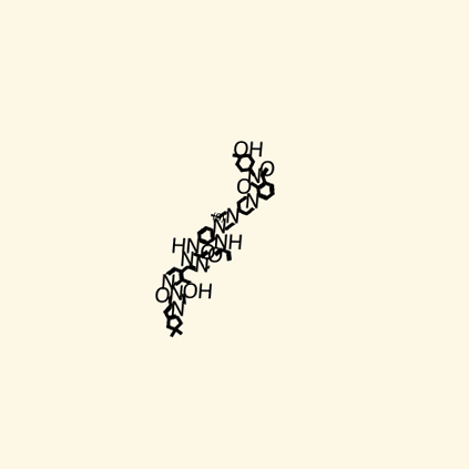 C=CC(=O)Nc1cc(Nc2nc(-c3ccnc(N4CCn5c(cc6c5CC(C)(C)C6)C4=O)c3CO)cn(C)c2=O)ccc1N1CCN(C2CCN(c3cccc4c3C(=O)N(C3CCC(C)(O)CC3)C4=O)CC2)C[C@@H]1C